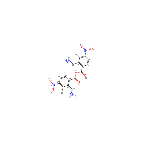 Cc1c([N+](=O)[O-])ccc(C(=O)OC(=O)c2ccc([N+](=O)[O-])c(C)c2CN)c1CN